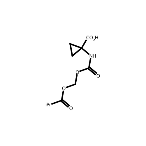 CC(C)C(=O)OCOC(=O)NC1(C(=O)O)CC1